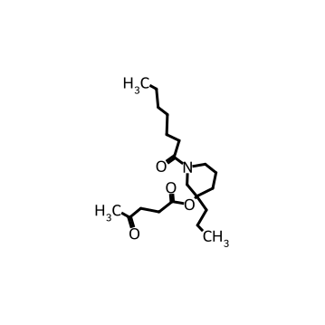 CCCCCCC(=O)N1CCCC(CCC)(OC(=O)CCC(C)=O)C1